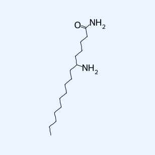 CCCCCCCCCCC(N)CCCCC(N)=O